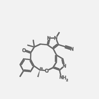 Cc1ccc2c(c1)[C@@H](C)Oc1cc(cnc1N)-c1c(nn(C)c1C#N)CC(C)(C)C2=O